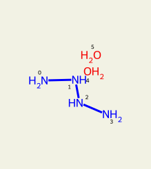 NNNN.O.O